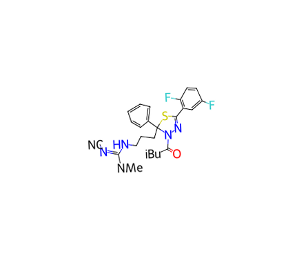 CCC(C)C(=O)N1N=C(c2cc(F)ccc2F)SC1(CCCN/C(=N\C#N)NC)c1ccccc1